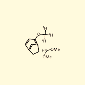 CONOC.[2H]C([2H])([2H])Oc1ccc2cc1CC2